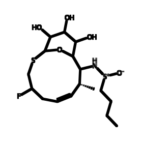 CCCC[S+]([O-])NC1C2OC(SCC(F)C/C=C\[C@H]1C)C(O)C(O)C2O